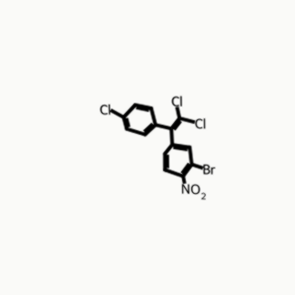 O=[N+]([O-])c1ccc(C(=C(Cl)Cl)c2ccc(Cl)cc2)cc1Br